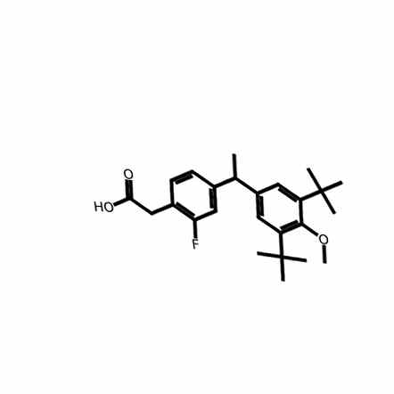 COc1c(C(C)(C)C)cc(C(C)c2ccc(CC(=O)O)c(F)c2)cc1C(C)(C)C